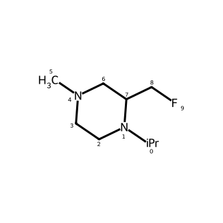 CC(C)N1CCN(C)CC1CF